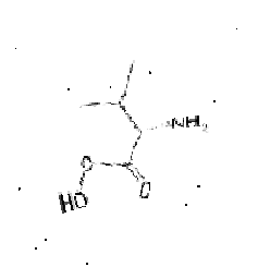 CC(C)[C@H](N)C(=O)OO